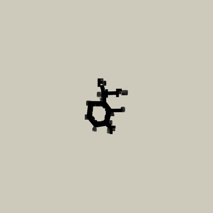 Cc1c(F)cccc1N(F)F